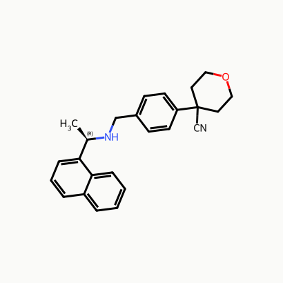 C[C@@H](NCc1ccc(C2(C#N)CCOCC2)cc1)c1cccc2ccccc12